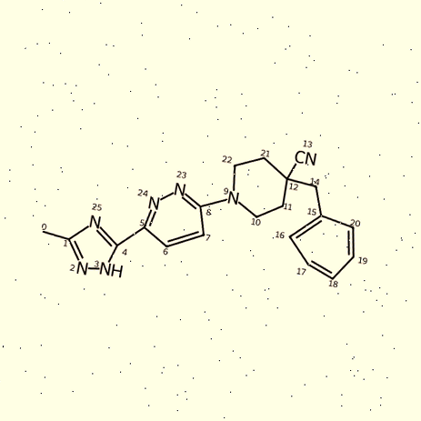 Cc1n[nH]c(-c2ccc(N3CCC(C#N)(Cc4ccccc4)CC3)nn2)n1